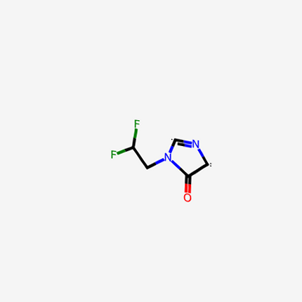 O=C1[C]N=[C]N1CC(F)F